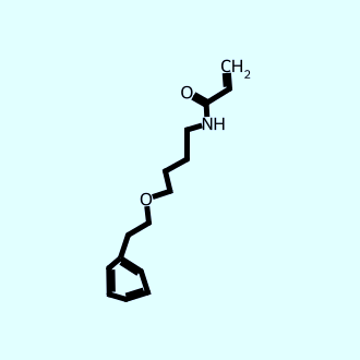 C=CC(=O)NCCCCOCCc1ccccc1